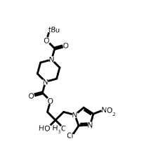 CC(O)(COC(=O)N1CCN(C(=O)OC(C)(C)C)CC1)Cn1cc([N+](=O)[O-])nc1Cl